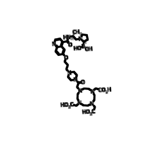 C[C@H](CN1CCC[C@H]1B(O)O)NC(=O)c1ccnc2ccc(OCCCN3CCN(C(=O)CN4CCN(CC(=O)O)CCN(CC(=O)O)CCN(CC(=O)O)CC4)CC3)cc12